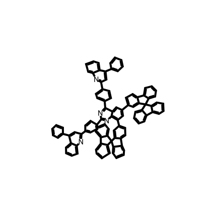 c1ccc(-c2cc(-c3ccc(-c4nc(-c5ccc(-c6cc(-c7ccccc7)c7ccccc7n6)cc5)c5cc(-c6ccc7c(c6)C6(c8ccccc8-c8ccccc86)c6ccccc6-7)cc(-c6ccc7c(c6)C6(c8ccccc8-c8ccccc86)c6ccccc6-7)c5n4)cc3)nc3ccccc23)cc1